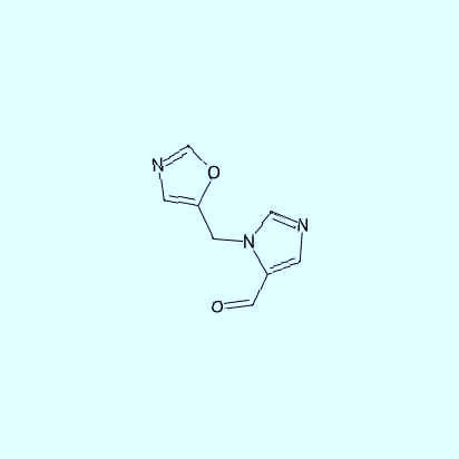 O=Cc1cncn1Cc1cnco1